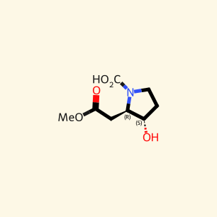 COC(=O)C[C@@H]1[C@@H](O)CCN1C(=O)O